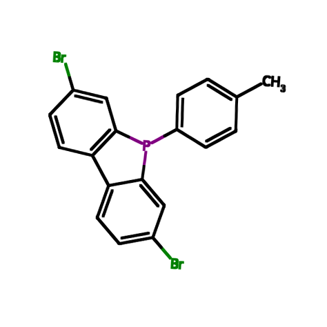 Cc1ccc(-p2c3cc(Br)ccc3c3ccc(Br)cc32)cc1